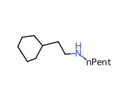 CCCCCNCCC1CCCCC1